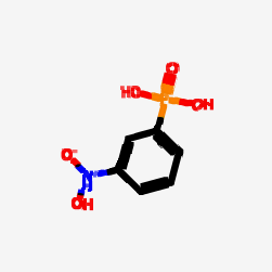 O=P(O)(O)c1cccc([NH+]([O-])O)c1